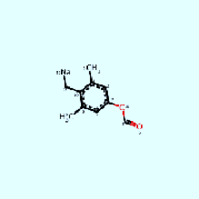 Cc1cc(OC=O)cc(C)c1[CH2][Na]